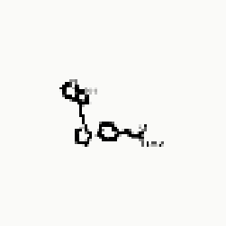 COC(=O)/C=C/c1ccc([C@@H]2CCCN2CCc2c[nH]c3ncccc23)cc1